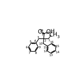 CCC(Cc1ccccc1)(Cc1ccccc1)C(=O)O